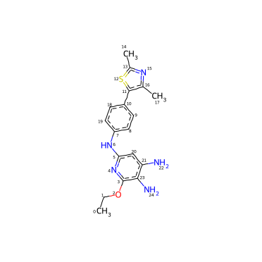 CCOc1nc(Nc2ccc(-c3sc(C)nc3C)cc2)cc(N)c1N